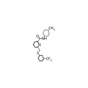 CC1CCC(NC(=O)c2cccc(CSc3cccc(C(F)(F)F)c3)n2)CC1